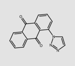 O=C1c2ccccc2C(=O)c2c1cccc2-n1ccnn1